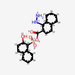 NNc1c(C(=O)OS(=O)(=O)c2c(O)ccc3ccccc23)ccc2ccccc12